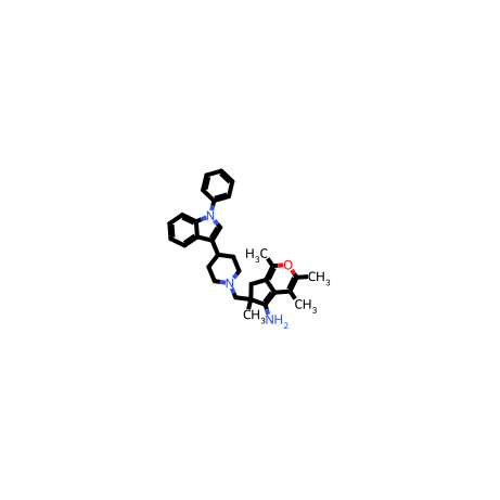 CC1=C(C)C2=C(N)C(C)(CN3CCC(c4cn(-c5ccccc5)c5ccccc45)CC3)CC2=C(C)O1